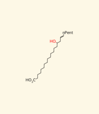 CCCCCC=CCC(O)CCCCCCCCCCCCCC(=O)O